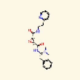 CN(C)[C@H](Cc1ccccc1)NC(=O)[C@H]1O[C@@H]1C(=O)NCCc1ccccn1